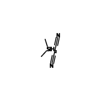 C[SiH2]C.N#CC#N